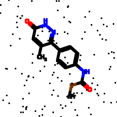 CCCSC(=O)Nc1ccc(-c2n[nH]c(=O)cc2C)cc1